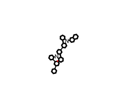 c1ccc(-c2cccc(-c3ccccc3-n3c4ccccc4c4cc(-c5ccc6c(c5)c5ccccc5n6-c5ccc6ccccc6c5)ccc43)c2)cc1